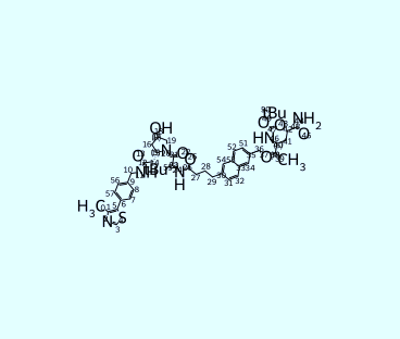 Cc1ncsc1-c1ccc(CNC(=O)C[C@@H]2C[C@@H](O)CN2C(=O)[C@@H](NC(=O)CCCc2ccc3cc(CO[C@H](C)[C@H](CCC(N)=O)NC(=O)OC(C)(C)C)ccc3c2)C(C)(C)C)cc1